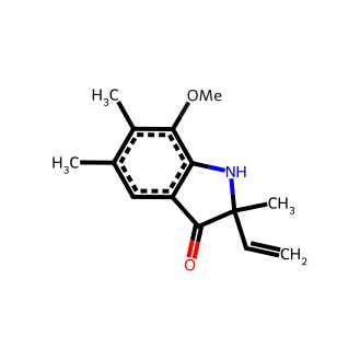 C=CC1(C)Nc2c(cc(C)c(C)c2OC)C1=O